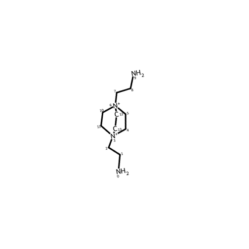 NCC[N+]12CC[N+](CCN)(CC1)CC2